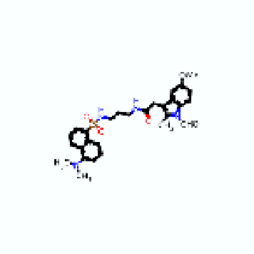 COc1ccc2c(c1)c(CC(=O)NCCCNS(=O)(=O)c1cccc3c(N(C)C)cccc13)c(C)n2C=O